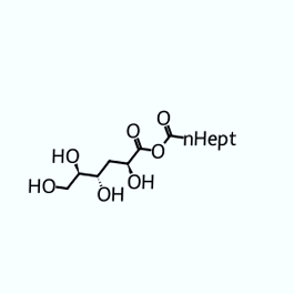 CCCCCCCC(=O)OC(=O)[C@@H](O)C[C@H](O)[C@H](O)CO